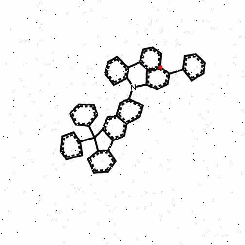 c1ccc(-c2ccc(N(c3ccc4cc5c(cc4c3)C(c3ccccc3)(c3ccccc3)c3ccccc3-5)c3ccccc3-c3ccccc3)cc2)cc1